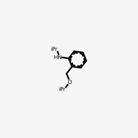 CC(C)Nc1ccccc1COC(C)C